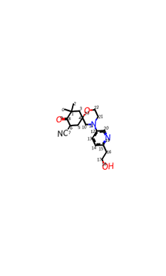 CC1(C)CC2(CC(C#N)C1=O)CN(c1ccc(CCO)nc1)CCO2